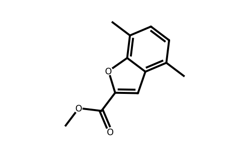 COC(=O)c1cc2c(C)ccc(C)c2o1